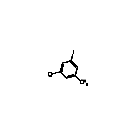 FC(F)(F)c1cc(Cl)cc(I)c1